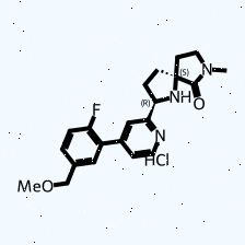 COCc1ccc(F)c(-c2ccnc([C@H]3CC[C@@]4(CCN(C)C4=O)N3)c2)c1.Cl